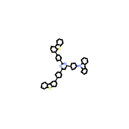 c1ccc2c(c1)sc1ccc(-c3ccc(-c4cc(-c5ccc(-n6c7ccccc7c7ccccc76)cc5)nc(-c5ccc(-c6cccc7c6sc6ccccc67)cc5)n4)cc3)cc12